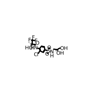 C[C@@](O)(C(=O)Nc1ccc(S(=O)(=O)NC[C@@H](O)CO)cc1Cl)C(F)(F)F